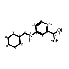 CCCC(O)c1cc(NCC2CCCCC2)ccn1